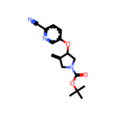 C=C1CN(C(=O)OC(C)(C)C)CC1Oc1ccc(C#N)nc1